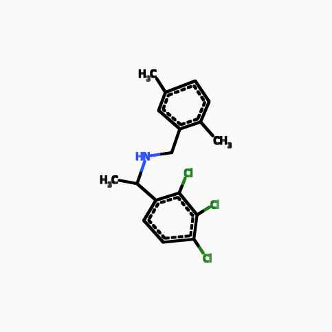 Cc1ccc(C)c(CNC(C)c2ccc(Cl)c(Cl)c2Cl)c1